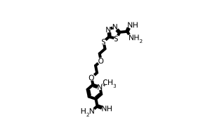 C[n+]1cc(C(=N)N)ccc1OCCOCCSc1nnc(C(=N)N)s1